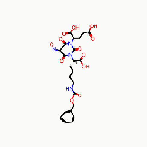 O=NC1C(=O)N(C(CCC(=O)O)C(=O)O)C(=O)N([C@@H](CCCCNC(=O)OCc2ccccc2)C(=O)O)C1=O